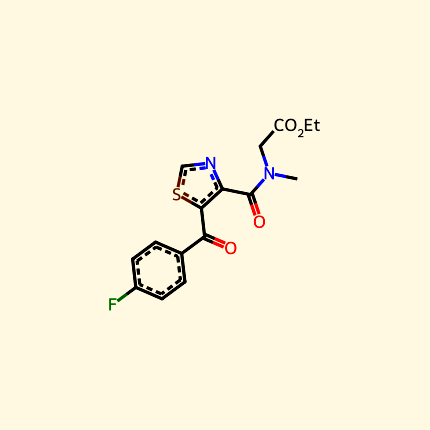 CCOC(=O)CN(C)C(=O)c1ncsc1C(=O)c1ccc(F)cc1